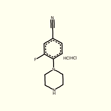 Cl.Cl.N#Cc1ccc(N2CCNCC2)c(F)c1